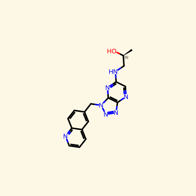 C[C@H](O)CNc1cnc2nnn(Cc3ccc4ncccc4c3)c2n1